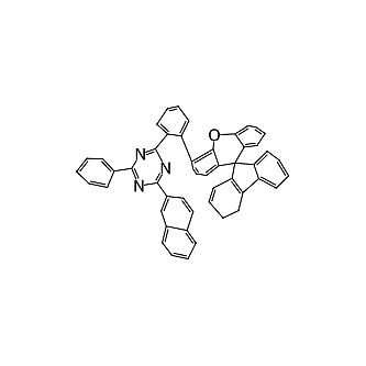 C1=CC2=C(CC1)c1ccccc1C21c2ccccc2Oc2c(-c3ccccc3-c3nc(-c4ccccc4)nc(-c4ccc5ccccc5c4)n3)cccc21